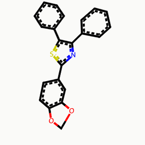 c1ccc(-c2nc(-c3ccc4c(c3)OCO4)sc2-c2ccccc2)cc1